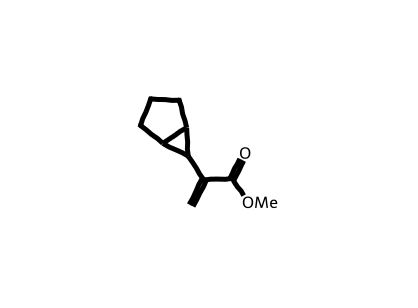 C=C(C(=O)OC)C1C2CCCC21